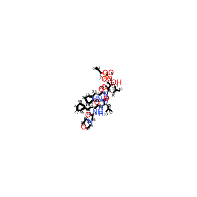 C#CCOP(=O)(OC)OC[C@@](C)(O)C(=O)[C@H](CC(C)C)NC(=O)[C@H](Cc1ccccc1)NC(=O)[C@H](CC(C)C)NC(=O)[C@H](CCc1ccccc1)NC(=O)CN1CCOCC1